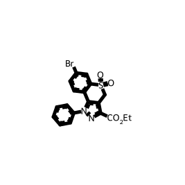 CCOC(=O)c1nn(-c2ccccc2)c2c1CS(=O)(=O)c1cc(Br)ccc1-2